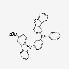 CC(C)(C)c1ccc2c(c1)c1ccccc1n2-c1cccc(N(c2ccccc2)c2ccc3sc4ccccc4c3c2)c1